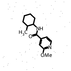 COc1cc(C(=O)NC2CCCCC2C)ccn1